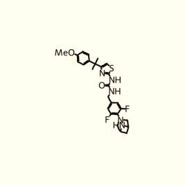 COc1ccc(C(C)(C)c2csc(NC(=O)NCc3cc(F)c(N4CC5CC(C4)N5)c(F)c3)n2)cc1